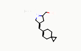 O=C(O)N1C/C(=C/C2=CCC3(CC2)CC3)CC1CO